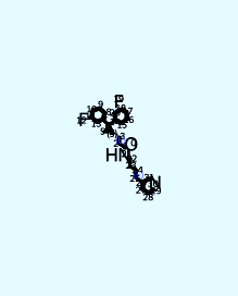 O=C(/C=C/[C@@H]1CC1(c1cccc(F)c1)c1cccc(F)c1)NCC/C=C/c1cccnc1